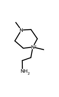 CN1CC[N+](C)(CCN)CC1